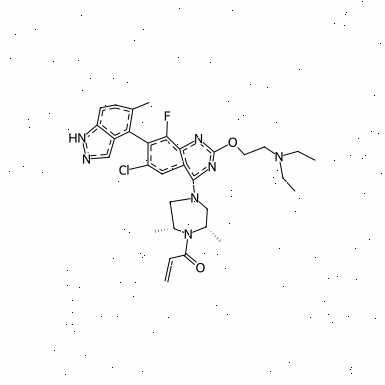 C=CC(=O)N1[C@H](C)CN(c2nc(OCCN(CC)CC)nc3c(F)c(-c4c(C)ccc5[nH]ncc45)c(Cl)cc23)C[C@@H]1C